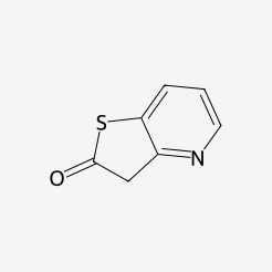 O=C1Cc2ncccc2S1